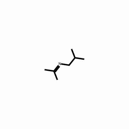 CC(C)=NCC(C)C